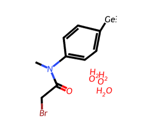 CN(C(=O)CBr)c1cc[c]([Ge])cc1.O.O.O